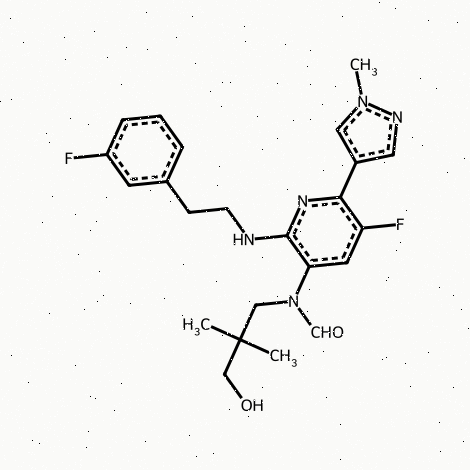 Cn1cc(-c2nc(NCCc3cccc(F)c3)c(N(C=O)CC(C)(C)CO)cc2F)cn1